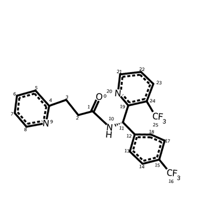 O=C(CCc1ccccn1)N[C@@H](c1ccc(C(F)(F)F)cc1)c1ncccc1C(F)(F)F